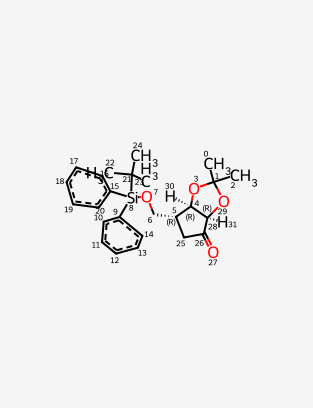 CC1(C)O[C@@H]2[C@@H](CO[Si](c3ccccc3)(c3ccccc3)C(C)(C)C)CC(=O)[C@@H]2O1